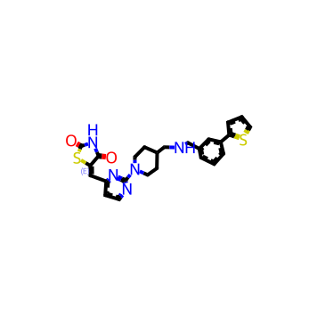 O=C1NC(=O)/C(=C\c2ccnc(N3CCC(CNCc4cccc(-c5cccs5)c4)CC3)n2)S1